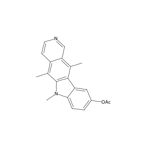 CC(=O)Oc1ccc2c(c1)c1c(C)c3cnccc3c(C)c1n2C